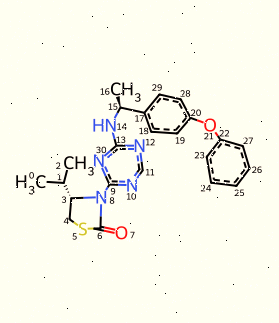 CC(C)[C@H]1CSC(=O)N1c1ncnc(N[C@@H](C)c2ccc(Oc3ccccc3)cc2)n1